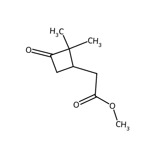 COC(=O)CC1CC(=O)C1(C)C